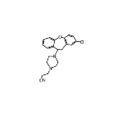 N#CCCN1CCN(C2Cc3cc(Cl)ccc3Oc3ccccc32)CC1